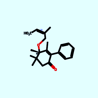 CC1=C(c2ccccc2)C(=O)CC(C)(C)[C@]1(C)OC/C(C)=C\C(=O)O